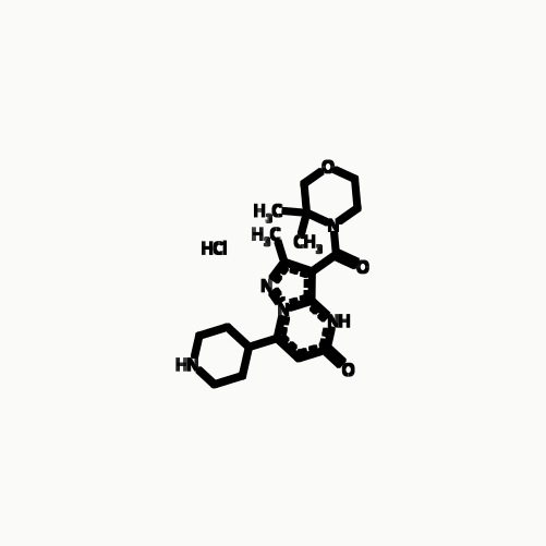 Cc1nn2c(C3CCNCC3)cc(=O)[nH]c2c1C(=O)N1CCOCC1(C)C.Cl